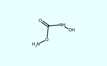 NOC(=O)NO